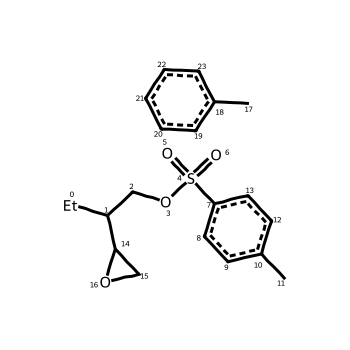 CCC(COS(=O)(=O)c1ccc(C)cc1)C1CO1.Cc1ccccc1